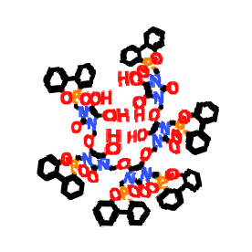 O=c1n(COc2c(O)n(COc3c(OCn4c(O)c(OCn5c(O)c(O)n(CP6(=O)Oc7ccccc7-c7ccccc76)c5=O)n(CP5(=O)Oc6ccccc6-c6ccccc65)c4=O)n(CP4(=O)Oc5ccccc5-c5ccccc54)c(=O)n3CP3(=O)Oc4ccccc4-c4ccccc43)c(=O)n2CP2(=O)Oc3ccccc3-c3ccccc32)c(O)c(O)n1CP1(=O)Oc2ccccc2-c2ccccc21